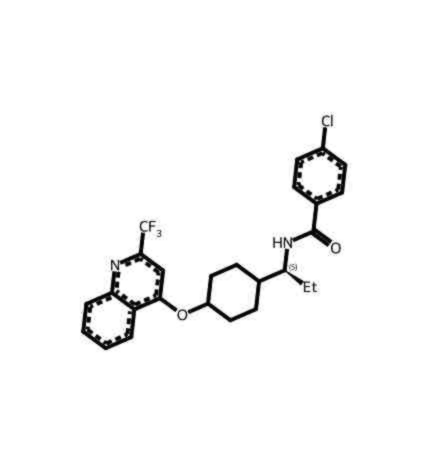 CC[C@H](NC(=O)c1ccc(Cl)cc1)C1CCC(Oc2cc(C(F)(F)F)nc3ccccc23)CC1